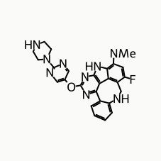 CNc1cc(F)c2c3c1[nH]c1nc(Oc4cnc(N5CCNCC5)nc4)nc(c13)-c1ccccc1NC2